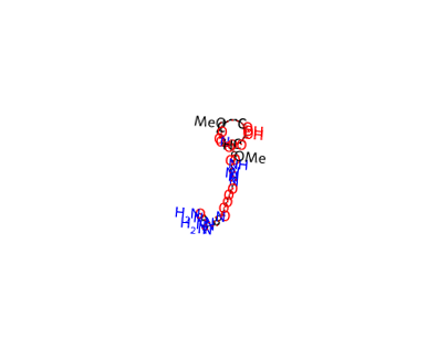 CO[C@H]1CC2CCCC(O2)C(=O)C(=O)N2CCCC[C@H]2C(=O)O[C@H](CC[C@@H]2CC[C@@H](OC(=O)NCc3cnc(N4CCN(CCOCCOCCOCCOCCC(=O)N5CCc6cc(Cn7nc(-c8ccc9oc(N)nc9c8)c8c(N)ncnc87)ccc6C5)CC4)nc3)[C@H](OC)C2)CC(=O)[C@H](C)/C=C(\C)[C@@H](O)[C@@H](O)C(=O)[C@H](C)C[C@H](C)/C=C/C=C/C=C/1C